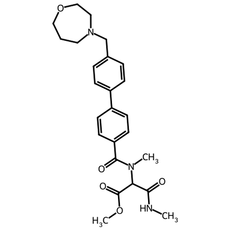 CNC(=O)C(C(=O)OC)N(C)C(=O)c1ccc(-c2ccc(CN3CCCOCC3)cc2)cc1